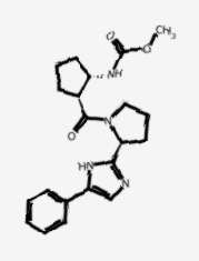 COC(=O)N[C@H]1CCC[C@@H]1C(=O)N1CCC[C@H]1c1ncc(-c2ccccc2)[nH]1